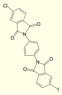 O=C1c2ccc(Cl)cc2C(=O)N1c1ccc(N2C(=O)c3ccc(I)cc3C2=O)cc1